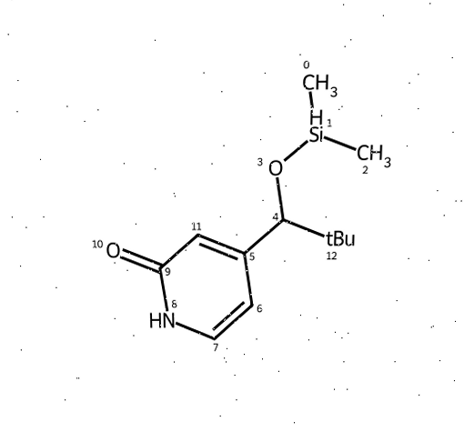 C[SiH](C)OC(c1cc[nH]c(=O)c1)C(C)(C)C